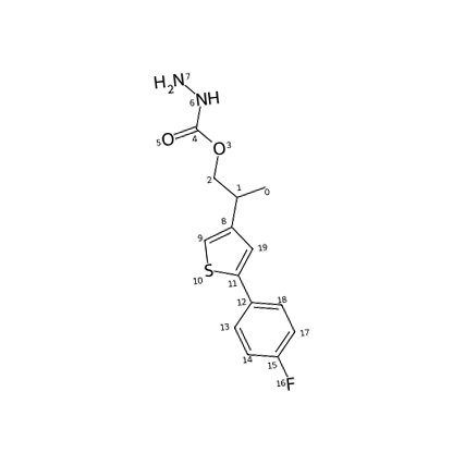 CC(COC(=O)NN)c1csc(-c2ccc(F)cc2)c1